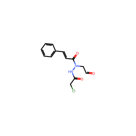 O=[C]CN(NC(=O)CCl)C(=O)C=Cc1ccccc1